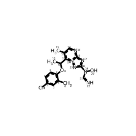 Cc1cc(Cl)ccc1OC(C)c1c(C)cnc2nc(N(O)C=N)nn12